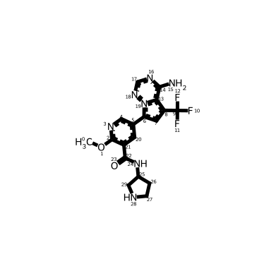 COc1ncc(-c2cc(C(F)(F)F)c3c(N)ncnn23)cc1C(=O)NC1CCNC1